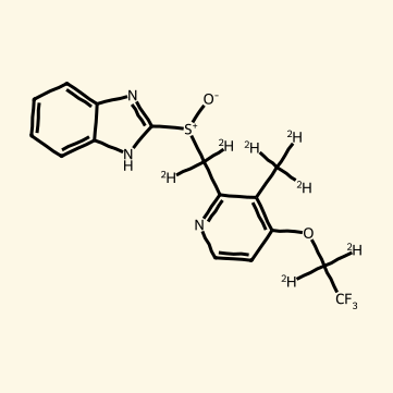 [2H]C([2H])([2H])c1c(OC([2H])([2H])C(F)(F)F)ccnc1C([2H])([2H])[S+]([O-])c1nc2ccccc2[nH]1